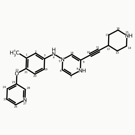 Cc1cc(NN2C=CNC(C#CC3CCNCC3)=C2)ccc1Oc1cccnc1